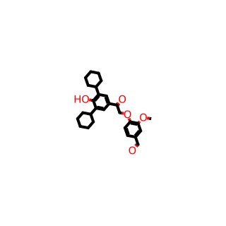 COc1cc(C=O)ccc1OCC(=O)c1cc(C2CCCCC2)c(O)c(C2CCCCC2)c1